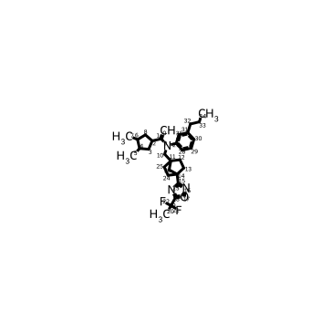 C=C(C1CC(C)C(C)C1)N(CC12CCC(c3noc(C(C)(F)F)n3)(CC1)C2)c1cccc(CCC)c1